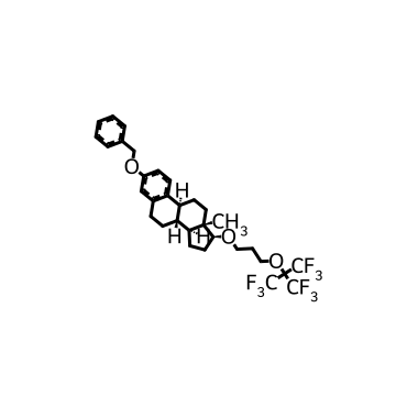 C[C@]12CC[C@@H]3c4ccc(OCc5ccccc5)cc4CC[C@H]3[C@@H]1CC[C@@H]2OCCCOC(C(F)(F)F)(C(F)(F)F)C(F)(F)F